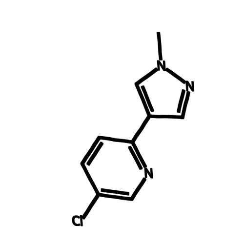 Cn1cc(-c2ccc(Cl)cn2)cn1